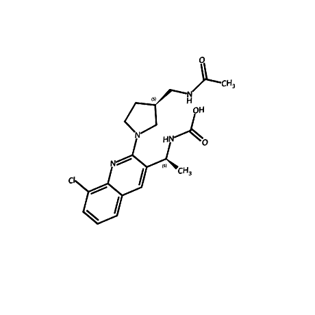 CC(=O)NC[C@@H]1CCN(c2nc3c(Cl)cccc3cc2[C@H](C)NC(=O)O)C1